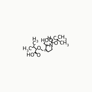 CC(C)C(OC[C@H]1CCN(C(=O)OC(C)(C)C)[C@@H]1CO)C(=O)O